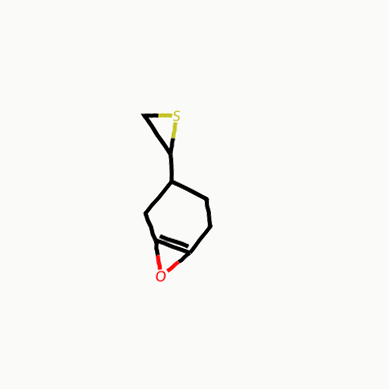 C1CC(C2CS2)CC2=C1O2